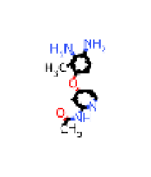 CC(=O)Nc1cc(Oc2ccc(N)c(N)c2C)ccn1